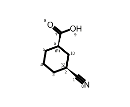 N#C[C@H]1CCC[C@@H](C(=O)O)C1